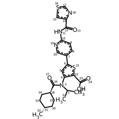 CC(C)N(c1cc(-c2ccc(NC(=O)c3cscn3)nc2)sc1C(=O)O)C(=O)[C@H]1CC[C@H](C)CC1